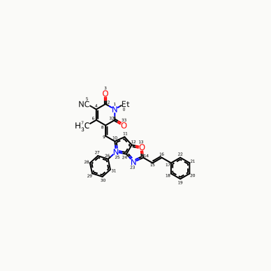 CCN1C(=O)C(C#N)=C(C)/C(=C/c2cc3oc(/C=C/c4ccccc4)nc3n2-c2ccccc2)C1=O